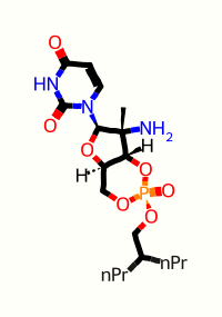 CCCC(CCC)CO[P@@]1(=O)OC[C@H]2O[C@@H](n3ccc(=O)[nH]c3=O)[C@](C)(N)[C@@H]2O1